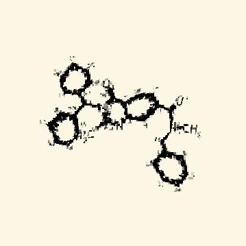 Cc1nc2cc(C(=O)N(C)Cc3ccccc3)ccc2c(=O)n1C(c1ccccc1)c1ccccc1